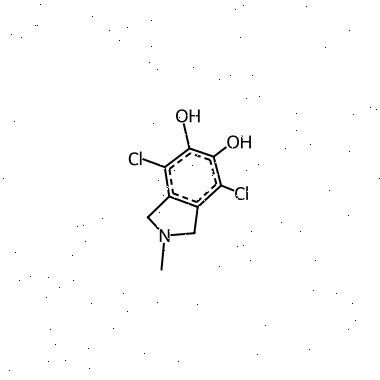 CN1Cc2c(Cl)c(O)c(O)c(Cl)c2C1